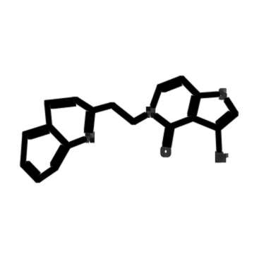 O=c1c2c(Br)csc2ccn1CCc1ccc2ccccc2n1